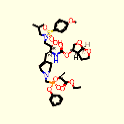 CCOC(=O)[C@H](C)OP(=O)(CN1CC=C(C[C@H](NC(=O)O[C@H]2CO[C@H]3OCC[C@H]32)[C@H](O)CN(CC(C)C)S(=O)(=O)c2ccc(OC)cc2)CC1)Oc1ccccc1